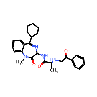 C[C@H](NCC(O)c1ccccc1)C(=O)NC1N=C(C2CCCCC2)c2ccccc2N(C)C1=O